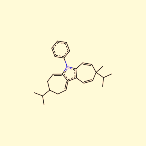 CC(C)C1CC=c2c3c(n(-c4ccccc4)c2=CC1)C=CC(C)(C(C)C)C=C3